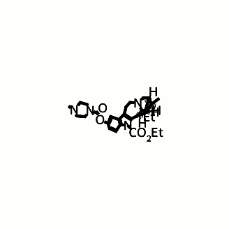 CCOC(=O)n1c2c(c3cc(OC(=O)N4CCN(C)CC4)ccc31)CCN1C[C@@H]3C[C@@H]2C1[C@@H](CC)[C@H]3C